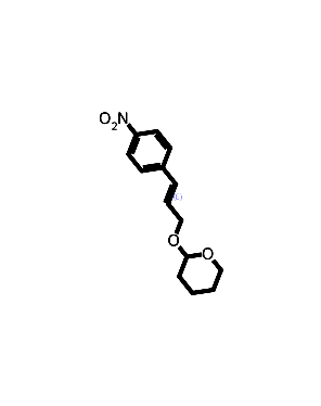 O=[N+]([O-])c1ccc(/C=C/COC2CCCCO2)cc1